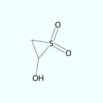 O=S1(=O)CC1O